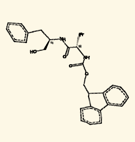 CC(C)[C@H](NC(=O)OCC1c2ccccc2-c2ccccc21)C(=O)N[C@@H](CO)Cc1ccccc1